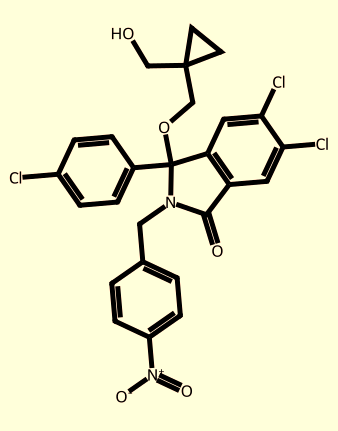 O=C1c2cc(Cl)c(Cl)cc2C(OCC2(CO)CC2)(c2ccc(Cl)cc2)N1Cc1ccc([N+](=O)[O-])cc1